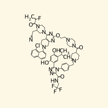 C=C(F)C(=O)N1CCN(c2nc(OCCN3CCN(C(=O)C4CCN(Cc5ccc(-n6c(C(=O)NCC(F)(F)F)nnc6-c6cc(C(C)C)c(O)cc6O)cc5)CC4)CC3)nc3c2CCN(c2cccc4cccc(Cl)c24)C3)CC1CC#N